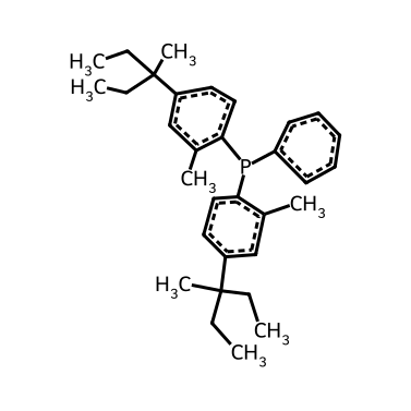 CCC(C)(CC)c1ccc(P(c2ccccc2)c2ccc(C(C)(CC)CC)cc2C)c(C)c1